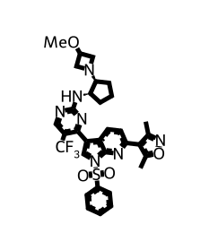 COC1CN([C@H]2CCC[C@@H]2Nc2ncc(C(F)(F)F)c(-c3cn(S(=O)(=O)c4ccccc4)c4nc(-c5c(C)noc5C)ccc34)n2)C1